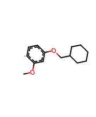 COc1[c]ccc(OCC2CCCCC2)c1